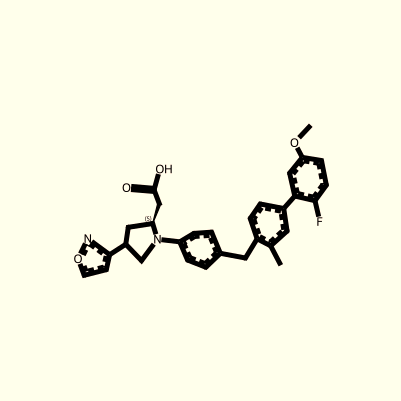 COc1ccc(F)c(-c2ccc(Cc3ccc(N4CC(c5ccon5)C[C@H]4CC(=O)O)cc3)c(C)c2)c1